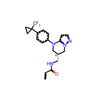 C=CC(=O)NC[C@@H]1CN(c2ccc(C3(C(F)(F)F)CC3)cc2)c2ccnn2C1